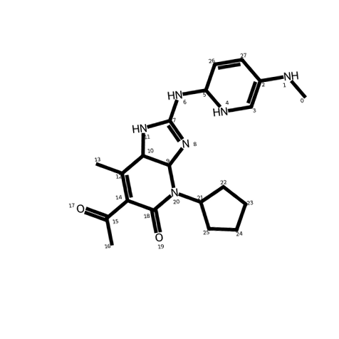 CNC1=CNC(NC2=NC3C(N2)C(C)=C(C(C)=O)C(=O)N3C2CCCC2)C=C1